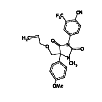 C=CCOCC1(c2ccc(OC)cc2)C(=O)N(c2ccc(C#N)c(C(F)(F)F)c2)C(=O)N1C